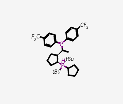 CC([C@@H]1CCC[C@@H]1[PH](C1CCCC1)(C(C)(C)C)C(C)(C)C)P(c1ccc(C(F)(F)F)cc1)c1ccc(C(F)(F)F)cc1